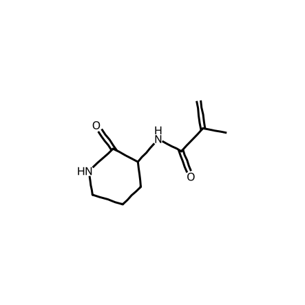 C=C(C)C(=O)NC1CCCNC1=O